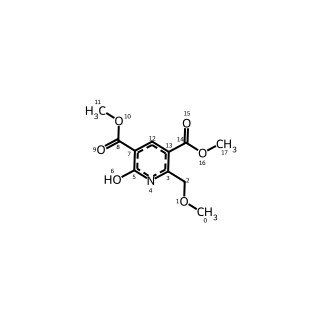 COCc1nc(O)c(C(=O)OC)cc1C(=O)OC